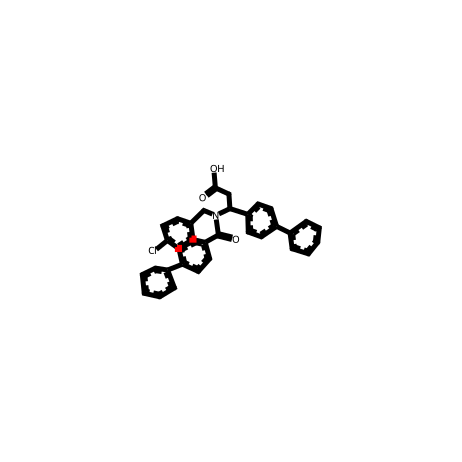 O=C(O)CC(c1ccc(-c2ccccc2)cc1)N(Cc1ccc(Cl)cc1)C(=O)c1ccc(-c2ccccc2)cc1